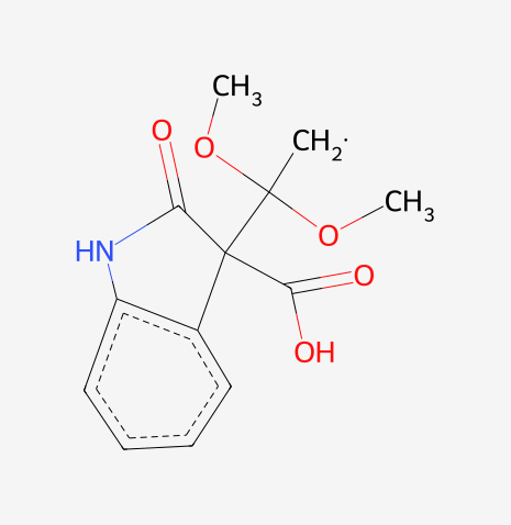 [CH2]C(OC)(OC)C1(C(=O)O)C(=O)Nc2ccccc21